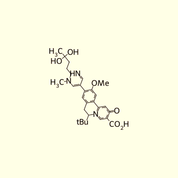 COc1cc2c(cc1/C(C=N)=C/N(C)CCCC(C)(O)O)CC(C(C)(C)C)n1cc(C(=O)O)c(=O)cc1-2